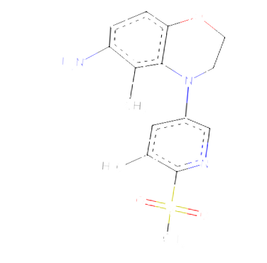 Cc1cc(N2CCOc3ccc(N)c(C)c32)cnc1S(C)(=O)=O